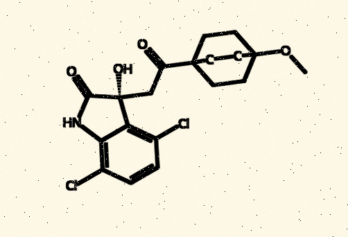 COC12CCC(C(=O)C[C@]3(O)C(=O)Nc4c(Cl)ccc(Cl)c43)(CC1)CC2